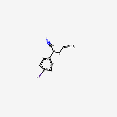 C=CCC(C#N)c1ccc(I)cc1